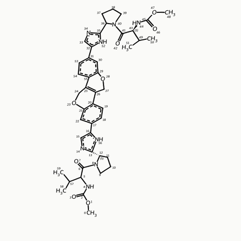 COC(=O)NC(C(=O)N1CCC[C@H]1c1ncc(-c2ccc3c(c2)OCC2=C3COc3cc(-c4cnc(C5CCCN5C(=O)[C@@H](NC(=O)OC)C(C)C)[nH]4)ccc32)[nH]1)C(C)C